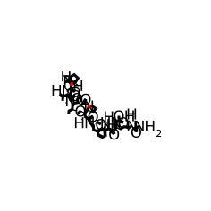 CC[C@H](C)[C@@H]([C@@H](CC(=O)N1CCC[C@H]1[C@H](OC)[C@@H](C)C(=O)N[C@H](CO)Cc1cccc(NC(=O)[C@H](CCCNC(N)=O)NC(=O)O)c1)OC)N(C)C(=O)[C@@H](NC(=O)[C@@H]1[C@H]2CC[C@H](C2)N1C)C(C)C